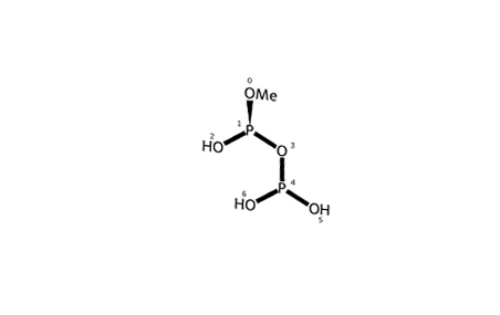 CO[P@](O)OP(O)O